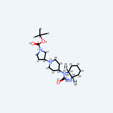 CC(C)(C)OC(=O)N1CCC(N2CCC(N3C(=O)N[C@@H]4CCCC[C@H]43)CC2)C1